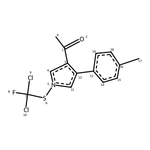 CC(=O)c1cn(SC(F)(Cl)Cl)cc1-c1ccc(C)cc1